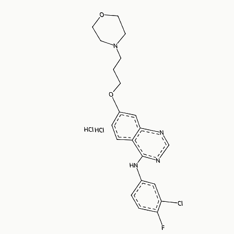 Cl.Cl.Fc1ccc(Nc2ncnc3cc(OCCCN4CCOCC4)ccc23)cc1Cl